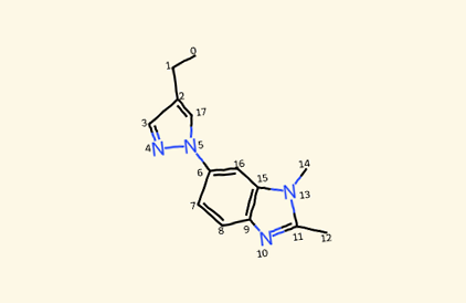 CCc1cnn(-c2ccc3nc(C)n(C)c3c2)c1